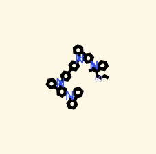 C=C/C=C\c1c(C)n(-c2ccc3c4ccccc4n(-c4ccc(-c5ccc(-n6c7ccccc7c7ccc(-n8c9ccccc9c9ccccc98)cc76)cc5)cc4)c3c2)c2ccccc12